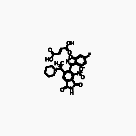 CC(c1cc2c(c([N+](=O)[O-])c1-c1noc3cc(F)ccc13)C(=O)NC2=O)N1CCCCC1.O=C(O)C=CC(=O)O